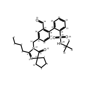 CCCCC1=NC2(CCCC2)C(=O)N1Cc1ccc(-c2ccccc2S(=O)(=O)NC(C)(C)C)c(C=O)c1